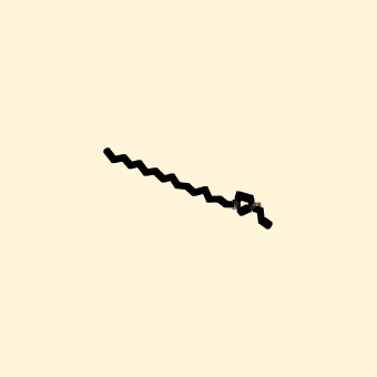 C=CC[n+]1ccn(CCCCCCCCCCCCCCCC)c1